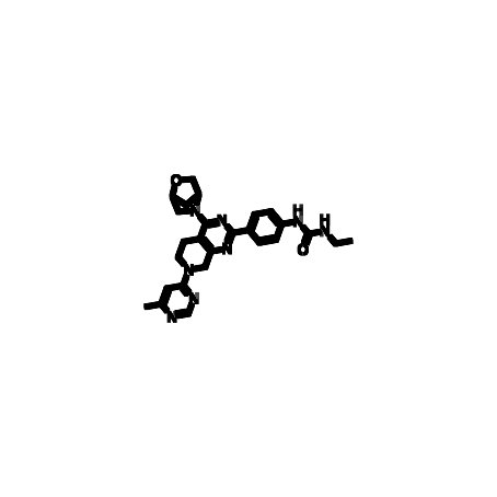 CCNC(=O)Nc1ccc(-c2nc3c(c(N4CC5CC4CO5)n2)CCN(c2cc(C)ncn2)C3)cc1